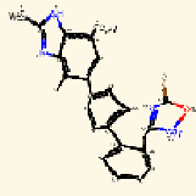 CSc1nc2c(C)c(-c3ccc(-c4ccccc4-c4nc(=S)o[nH]4)cc3)cc(C(=O)O)c2[nH]1